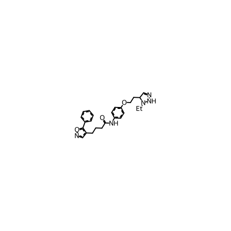 CCN1NN=CC1CCOc1ccc(NC(=O)CCCc2cnoc2-c2ccccc2)cc1